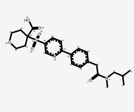 CC(C)CN(C)C(=O)Cc1ccc(-c2ccc(S(=O)(=O)C3(C(=O)O)CCOCC3)cn2)cc1